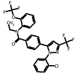 CCN(C(=O)c1ccc(-c2cc(C(F)(F)F)nn2-c2ccccc2Cl)cc1)c1ccccc1OC(F)(F)F